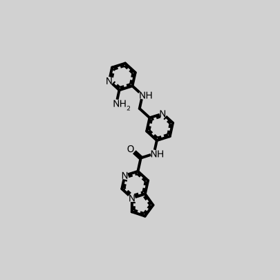 Nc1ncccc1NCc1cc(NC(=O)c2cc3cccn3cn2)ccn1